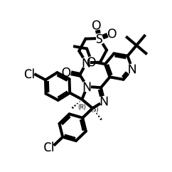 CCOc1cc(C(C)(C)C)ncc1C1=N[C@@](C)(c2ccc(Cl)cc2)[C@@](C)(c2ccc(Cl)cc2)N1C(=O)N1CCS(=O)(=O)CC1